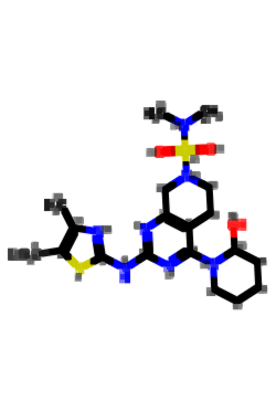 CCOC(=O)c1sc(Nc2nc3c(c(N4CCCCC4O)n2)CCN(S(=O)(=O)N(C)C)C3)nc1C